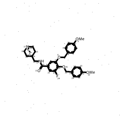 COc1ccc(COc2cc(C(=O)NCC34CCN(CC3)CC4)cc(F)c2OCc2ccc(OC)cc2)cc1